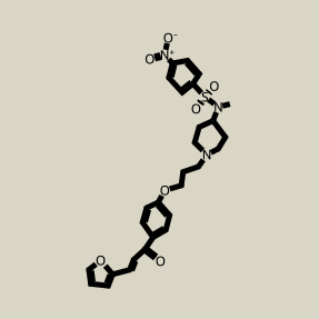 CN(C1CCN(CCCOc2ccc(C(=O)C=Cc3ccco3)cc2)CC1)S(=O)(=O)c1ccc([N+](=O)[O-])cc1